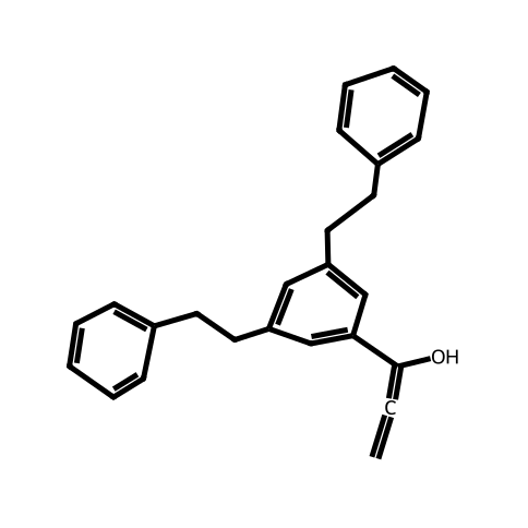 C=C=C(O)c1cc(CCc2ccccc2)cc(CCc2ccccc2)c1